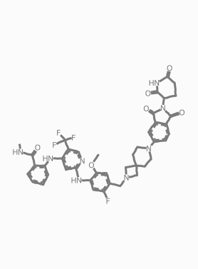 CNC(=O)c1ccccc1Nc1cc(Nc2cc(F)c(CN3CC4(CCN(c5ccc6c(c5)C(=O)N(C5CCC(=O)NC5=O)C6=O)CC4)C3)cc2OC)ncc1C(F)(F)F